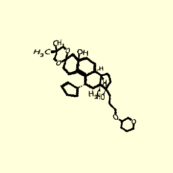 CC1(C)COC2(CCC3=C4[C@@H](CC[C@@]3(O)C2)[C@@H]2CC[C@@](O)(CCCOC3CCCOC3)[C@@]2(C)C[C@@H]4C2CCCC2)OC1